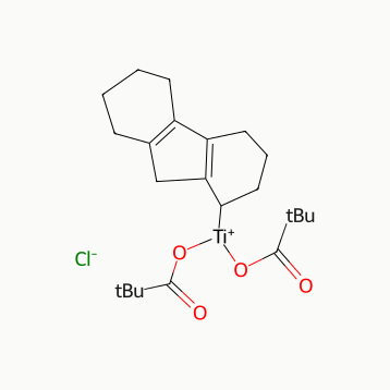 CC(C)(C)C(=O)[O][Ti+]([O]C(=O)C(C)(C)C)[CH]1CCCC2=C1CC1=C2CCCC1.[Cl-]